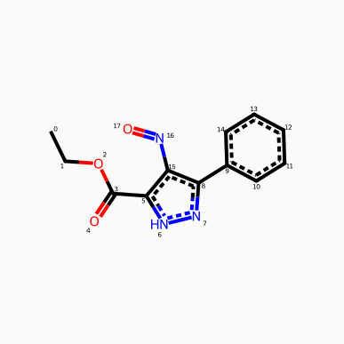 CCOC(=O)c1[nH]nc(-c2ccccc2)c1N=O